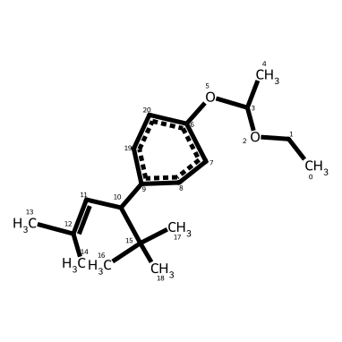 CCOC(C)Oc1ccc(C(C=C(C)C)C(C)(C)C)cc1